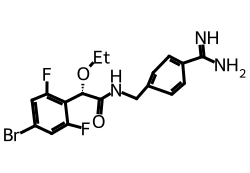 CCO[C@H](C(=O)NCc1ccc(C(=N)N)cc1)c1c(F)cc(Br)cc1F